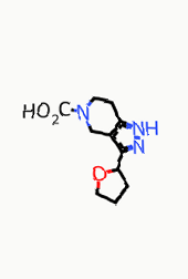 O=C(O)N1CCc2[nH]nc(C3CCCO3)c2C1